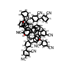 N#Cc1cccc(-c2cc(-n3c4ccccc4c4cc(-c5ccc(C#N)cc5C#N)ccc43)c(-n3c4ccc(-c5ccc(C#N)cc5C#N)cc4c4ccc(-c5cc(C#N)cc(C#N)c5-c5ccc6c7ccccc7n(-c7cc(-c8cccc(C#N)c8)c(C#N)cc7-n7c8ccccc8c8ccc(-c9ccc(C#N)cc9C#N)cc87)c6c5)cc43)cc2C#N)c1